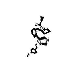 O=C(C1CC1)N1CCCC1c1ccccc1-c1cncn1CCc1ccc(F)cc1